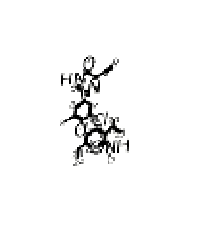 C#CC1=NN(c2cc(C)c(OC(/C=C(\C(=O)NC)C(C)C)=C(/C)CC)c(Cl)c2)CNC1=O